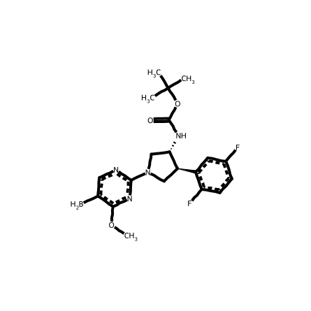 Bc1cnc(N2C[C@H](NC(=O)OC(C)(C)C)[C@@H](c3cc(F)ccc3F)C2)nc1OC